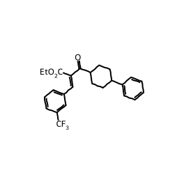 CCOC(=O)/C(=C\c1cccc(C(F)(F)F)c1)C(=O)C1CCC(c2ccccc2)CC1